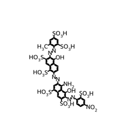 Cc1cc(S(=O)(=O)O)cc(S(=O)(=O)O)c1N=Nc1c(S(=O)(=O)O)cc2c(S(=O)(=O)O)c(N=Nc3cc(S(=O)(=O)O)c4cc(S(=O)(=O)O)c(N=Nc5ccc([N+](=O)[O-])cc5S(=O)(=O)O)c(O)c4c3N)ccc2c1O